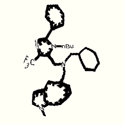 CCCCn1c(-c2ccccc2)nc(C(F)(F)F)c1CN(Cc1ccc2c(ccn2C)c1)CC1CCCCC1